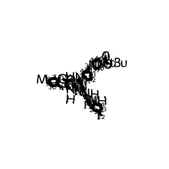 COC(=O)[C@H](Cc1ccccc1)Nc1nc(NCc2nc3cc(F)ccc3[nH]2)nc(Nc2cccc(CN3CCN(C(=O)OC(C)(C)C)CC3)c2)n1